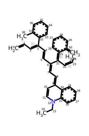 C=C/C=C(/C=CC(=CC=C1C=CN(CC)c2ccccc21)C(/C=C\C)=c1\ccccc1=C)c1ccccc1C